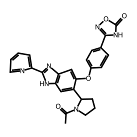 CC(=O)N1CCCC1c1cc2[nH]c(-c3ccccn3)nc2cc1Oc1ccc(-c2noc(=O)[nH]2)cc1